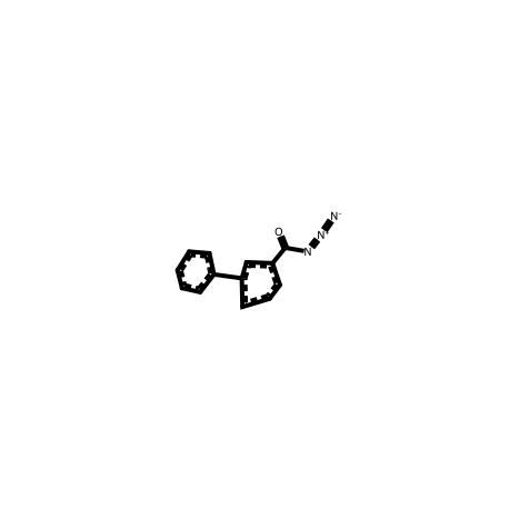 [N-]=[N+]=NC(=O)c1cccc(-c2ccccc2)c1